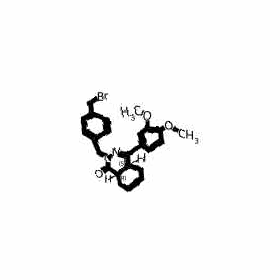 COc1ccc(C2=NN(Cc3ccc(CBr)cc3)C(=O)[C@@H]3CC=CC[C@H]23)cc1OC